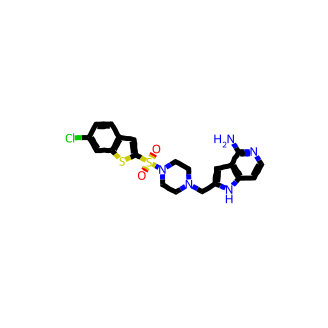 Nc1nccc2[nH]c(CN3CCN(S(=O)(=O)c4cc5ccc(Cl)cc5s4)CC3)cc12